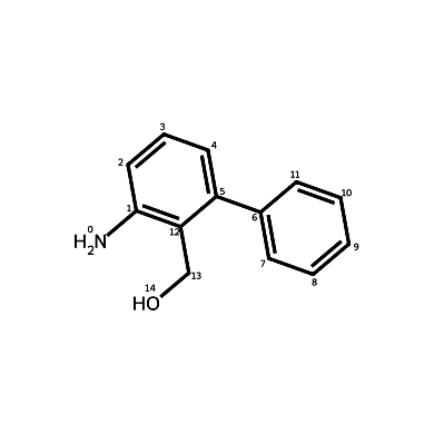 Nc1cccc(-c2ccccc2)c1CO